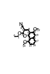 CCOC(=O)C(C#N)=Cc1cc2c(OC)cccc2cc1OC